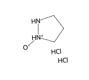 Cl.Cl.[O-][NH+]1CCCN1